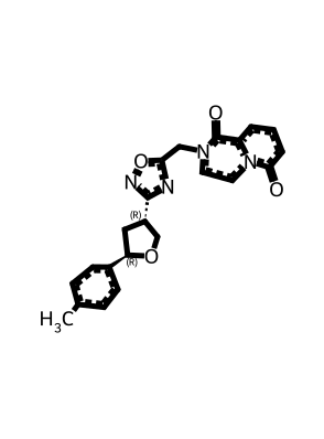 Cc1ccc([C@H]2C[C@H](c3noc(Cn4ccn5c(=O)cccc5c4=O)n3)CO2)cc1